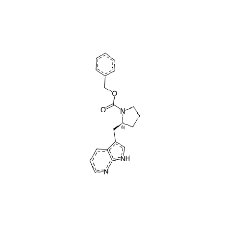 O=C(OCc1ccccc1)N1CCC[C@H]1Cc1c[nH]c2ncccc12